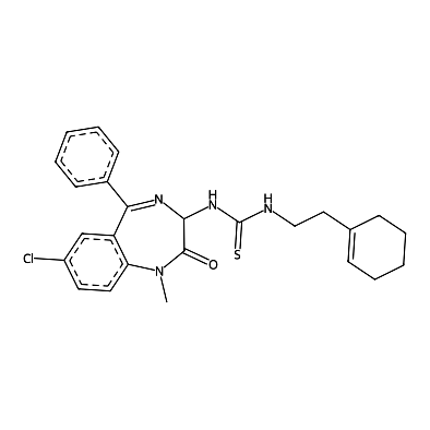 CN1C(=O)C(NC(=S)NCCC2=CCCCC2)N=C(c2ccccc2)c2cc(Cl)ccc21